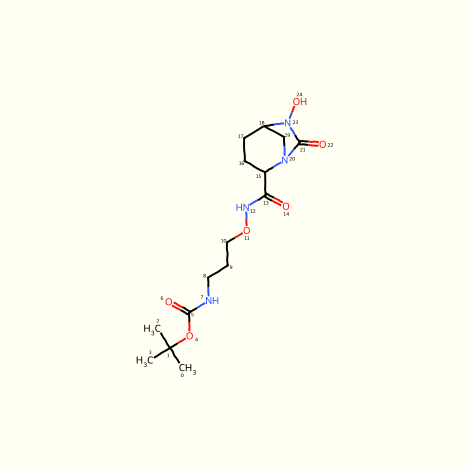 CC(C)(C)OC(=O)NCCCONC(=O)C1CCC2CN1C(=O)N2O